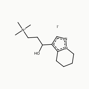 C[N+](C)(C)CCC(O)c1cnn2c1CCCC2.[I-]